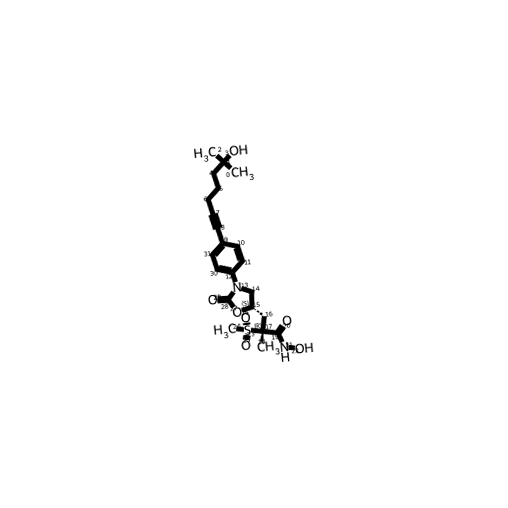 CC(C)(O)CCCC#Cc1ccc(N2C[C@H](C[C@](C)(C(=O)NO)S(C)(=O)=O)OC2=O)cc1